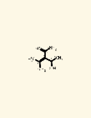 CC(C)=C(C(N)=O)C(C)O